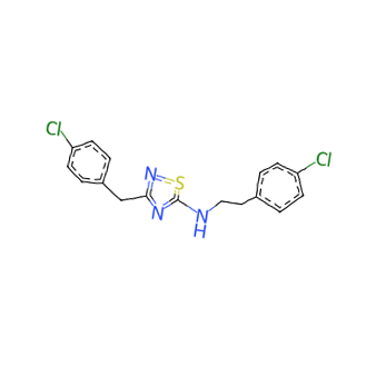 Clc1ccc(CCNc2nc(Cc3ccc(Cl)cc3)ns2)cc1